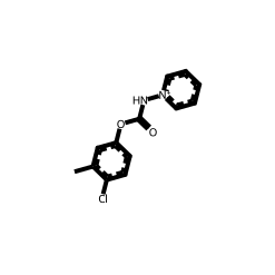 Cc1cc(OC(=O)N[n+]2ccccc2)ccc1Cl